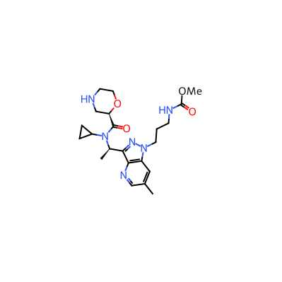 COC(=O)NCCCn1nc([C@@H](C)N(C(=O)[C@H]2CNCCO2)C2CC2)c2ncc(C)cc21